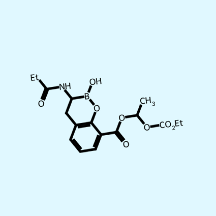 CCOC(=O)OC(C)OC(=O)c1cccc2c1OB(O)C(NC(=O)CC)C2